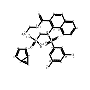 CCNC(=O)c1ccc2ccccc2c1N(CP(=O)(O)O)S(=O)(=O)c1cc(Cl)cc(Cl)c1.c1cc2cc-2c1